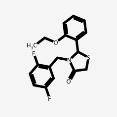 CCOc1ccccc1C1SCC(=O)N1Cc1cc(F)ccc1F